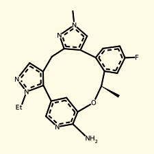 CCn1ncc2c1-c1cnc(N)c(c1)O[C@H](C)c1cc(F)ccc1-c1cn(C)nc1C2